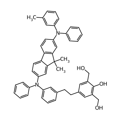 Cc1cccc(N(c2ccccc2)c2ccc3c(c2)C(C)(C)c2cc(N(c4ccccc4)c4cccc(CCc5cc(CO)c(O)c(CO)c5)c4)ccc2-3)c1